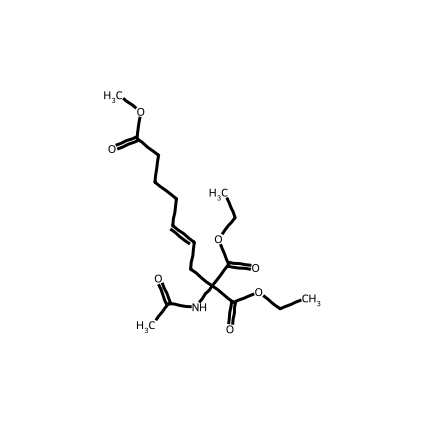 CCOC(=O)C(CC=CCCCC(=O)OC)(NC(C)=O)C(=O)OCC